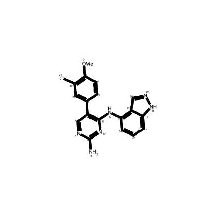 COc1ccc(-c2cnc(N)nc2Nc2cccc3[nH]ncc23)cc1Cl